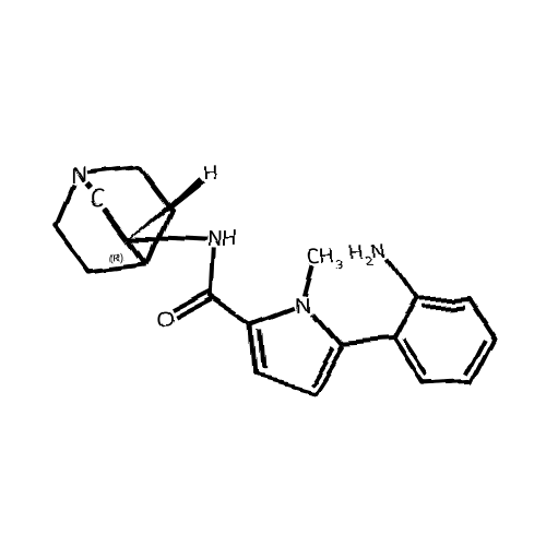 Cn1c(C(=O)N[C@H]2CN3CCC2CC3)ccc1-c1ccccc1N